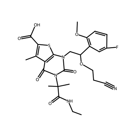 CCNC(=O)C(C)(C)n1c(=O)c2c(C)c(C(=O)O)sc2n(CC(OCCC#N)c2cc(F)ccc2OC)c1=O